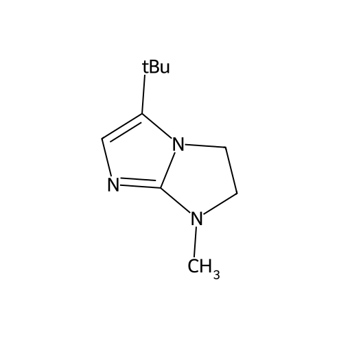 CN1CCn2c(C(C)(C)C)cnc21